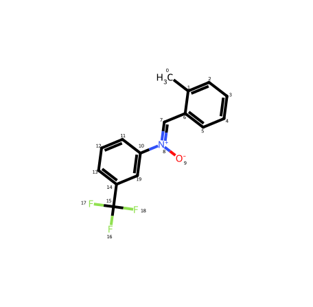 Cc1ccccc1C=[N+]([O-])c1cccc(C(F)(F)F)c1